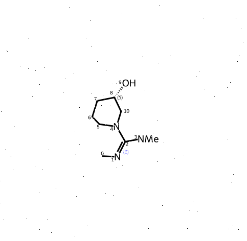 C/N=C(/NC)N1CCC[C@H](O)C1